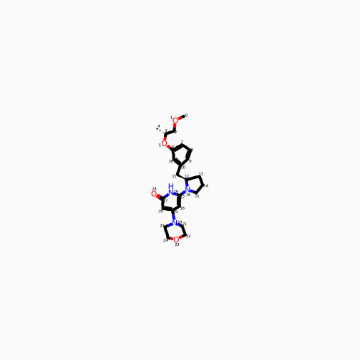 COC[C@@H](C)Oc1cccc(C[C@H]2CCCN2c2cc(N3CCOCC3)cc(=O)[nH]2)c1